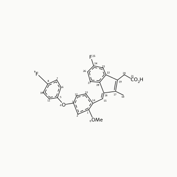 COc1cc(Oc2ccc(F)cc2)ccc1/C=C1/C(C)=C(CC(=O)O)c2cc(F)ccc21